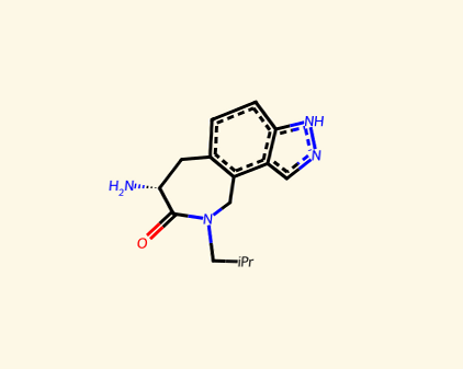 CC(C)CN1Cc2c(ccc3[nH]ncc23)C[C@@H](N)C1=O